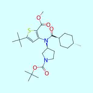 COC(=O)c1sc(C(C)(C)C)cc1N(C(=O)[C@H]1CC[C@H](C)CC1)[C@H]1CCN(C(=O)OC(C)(C)C)C1